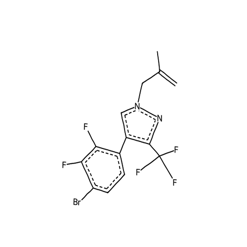 C=C(C)Cn1cc(-c2ccc(Br)c(F)c2F)c(C(F)(F)F)n1